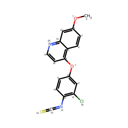 COc1ccc2c(Oc3ccc(N=C=S)c(Cl)c3)ccnc2c1